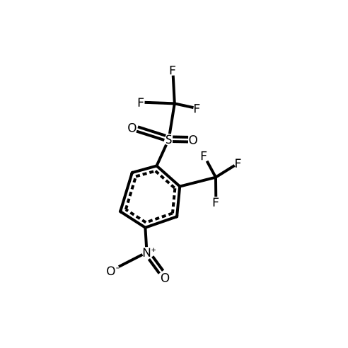 O=[N+]([O-])c1ccc(S(=O)(=O)C(F)(F)F)c(C(F)(F)F)c1